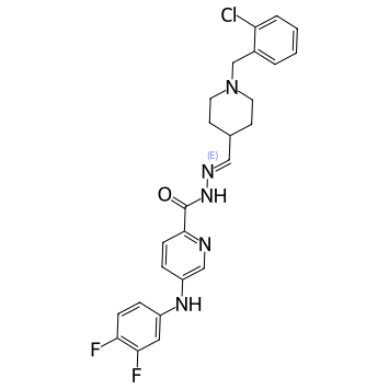 O=C(N/N=C/C1CCN(Cc2ccccc2Cl)CC1)c1ccc(Nc2ccc(F)c(F)c2)cn1